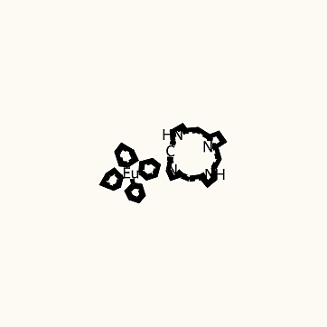 C1=Cc2cc3ccc(cc4nc(cc5ccc(cc1n2)[nH]5)C=C4)[nH]3.c1cc[c]([Eu]([c]2ccccc2)([c]2ccccc2)[c]2ccccc2)cc1